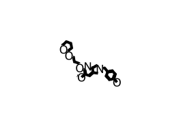 COc1ccc(CN2Cc3cc(OC)c(OCCCOC4CCCCO4)nc3C2)cc1